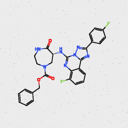 O=C1NCCN(C(=O)OCc2ccccc2)C[C@H]1Nc1nc2c(F)cccc2c2nc(-c3ccc(F)cc3)nn12